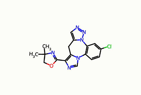 CC1(C)COC(c2ncn3c2Cc2cnnn2-c2cc(Cl)ccc2-3)=N1